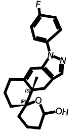 C[C@]12Cc3cnn(-c4ccc(F)cc4)c3C=C1CCC[C@@]21CCCC(O)O1